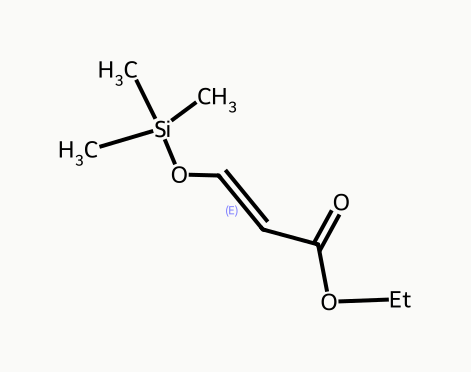 CCOC(=O)/C=C/O[Si](C)(C)C